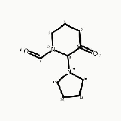 O=[C]N1CCCC(=O)C1N1CCCC1